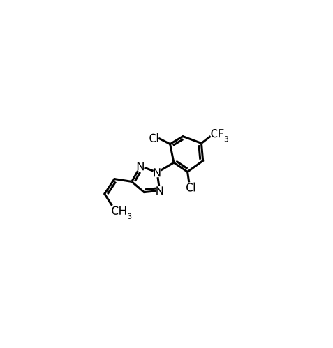 C/C=C\c1cnn(-c2c(Cl)cc(C(F)(F)F)cc2Cl)n1